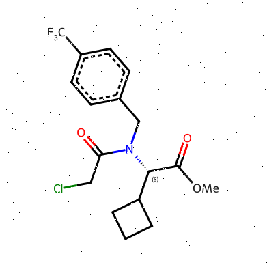 COC(=O)[C@H](C1CCC1)N(Cc1ccc(C(F)(F)F)cc1)C(=O)CCl